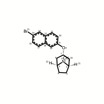 CN1[C@@H]2CC[C@H]1C[C@H](Oc1ccc3cc(Br)ccc3c1)C2